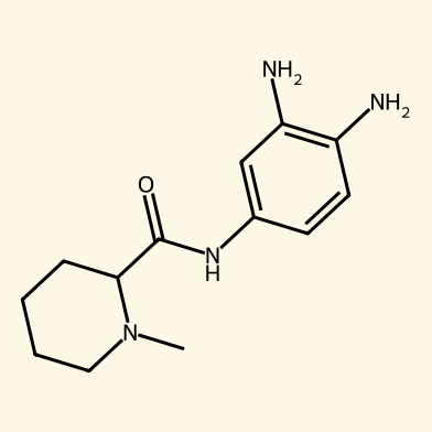 CN1CCCCC1C(=O)Nc1ccc(N)c(N)c1